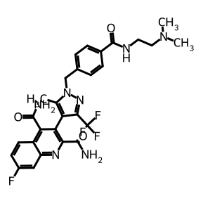 Cc1c(-c2c(C(N)=O)nc3cc(F)ccc3c2C(N)=O)c(C(F)(F)F)nn1Cc1ccc(C(=O)NCCN(C)C)cc1